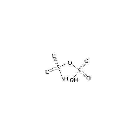 O=S(=O)(O)OS(=O)(=O)S